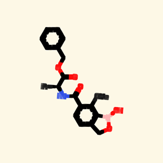 COc1c(C(=O)N[C@H](C(=O)OCc2ccccc2)C(C)C)ccc2c1B(O)OC2